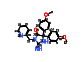 COc1ccc(C2(c3ccc(OC)cc3)NC(=N)N(Cc3ccccn3)C2=O)cc1